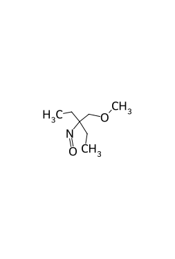 CCC(CC)(COC)N=O